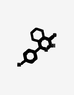 O=c1[nH]nc(-c2ccc(Br)cc2)c2c1CCCC2